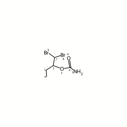 CCC(OC(N)=O)C(Br)Br